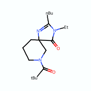 CCCCC1=NC2(CCCN(C(=O)C(C)(C)C)C2)C(=O)N1CC